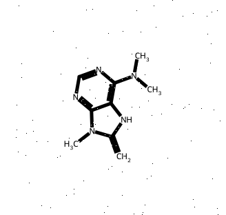 C=C1Nc2c(N(C)C)ncnc2N1C